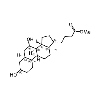 COC(=O)CCC[C@H]1CC[C@H]2[C@@H]3[C@H](O)C[C@@H]4C[C@H](O)CC[C@]4(C)[C@H]3CC[C@]12C